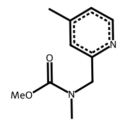 COC(=O)N(C)Cc1cc(C)ccn1